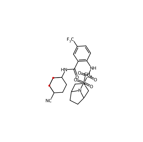 CS(=O)(=O)N1C2CCC1CN(S(=O)(=O)Nc1ccc(C(F)(F)F)cc1C(=O)NC13CCC(C#N)(CC1)CC3)C2